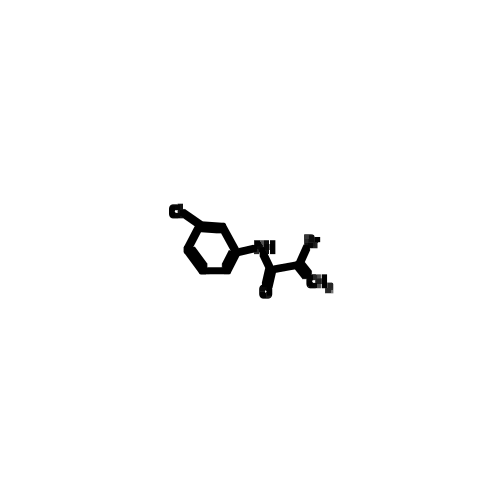 C=C(Br)C(=O)Nc1cccc(Cl)c1